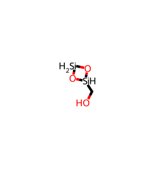 OC[SiH]1O[SiH2]O1